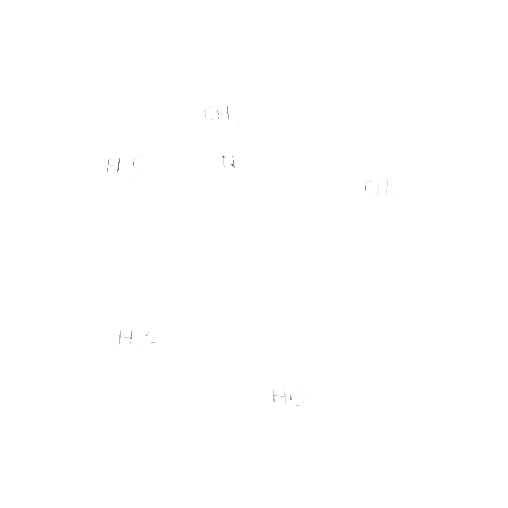 CC1CC(CO)CC(C)CN(C)C(C)C1